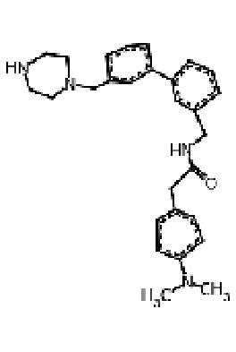 CN(C)c1ccc(CC(=O)NCc2cccc(-c3cccc(CN4CCNCC4)c3)c2)cc1